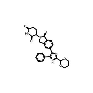 O=C1CCC(N2Cc3cc(-c4nc(C5OCCCO5)[nH]c4-c4ccccc4)ccc3C2=O)C(=O)N1